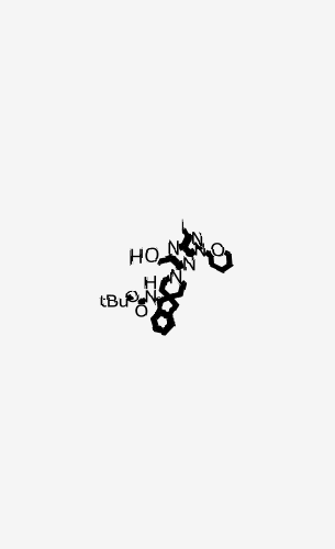 CC(C)(C)OC(=O)N[C@@H]1c2ccccc2CC12CCN(c1nc3c(nc1CO)c(I)nn3C1CCCCO1)CC2